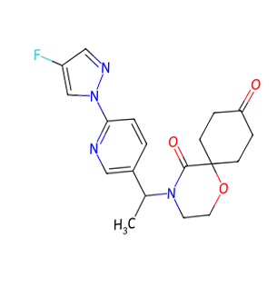 CC(c1ccc(-n2cc(F)cn2)nc1)N1CCOC2(CCC(=O)CC2)C1=O